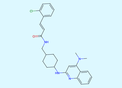 CN(C)c1cc(NC2CCC(CNC(=O)/C=C/c3ccccc3Cl)CC2)nc2ccccc12